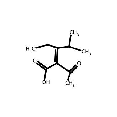 CCC(=C(C(C)=O)C(=O)O)C(C)C